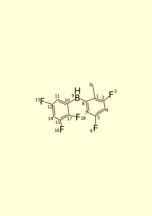 Cc1c(F)cc(F)cc1Bc1cc(F)cc(F)c1F